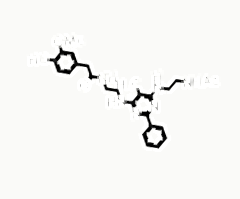 COc1cc(CC(=O)NCCNc2nc(-c3ccccc3)nc(NCCNC(C)=O)c2C)ccc1O